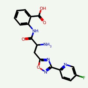 NC(Cc1nc(-c2ccc(F)cn2)no1)C(=O)Nc1ccccc1C(=O)O